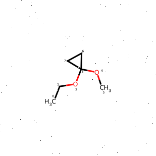 CCOC1(OC)CC1